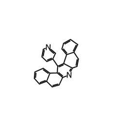 c1cncc(-c2c3c(ccc4ccccc43)nc3ccc4ccccc4c23)c1